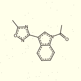 CC(=O)n1cc(-c2noc(C)n2)c2ccccc21